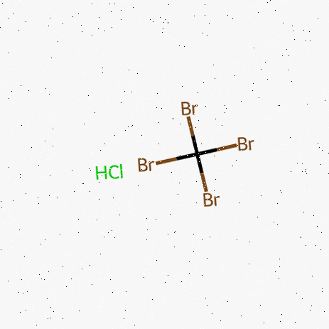 BrC(Br)(Br)Br.Cl